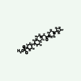 CS(=O)(=O)c1ccc(-c2ccc3c(c2)CCN(CC(=O)N2CCN(C4CCCC4)CC2)C3)cc1